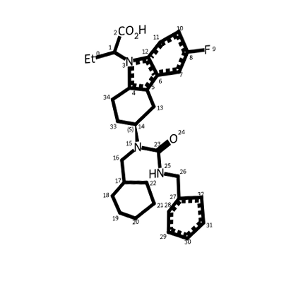 CCC(C(=O)O)n1c2c(c3cc(F)ccc31)C[C@@H](N(CC1CCCCC1)C(=O)NCc1ccccc1)CC2